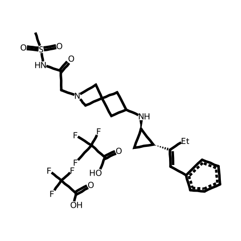 CC/C(=C\c1ccccc1)[C@@H]1C[C@H]1NC1CC2(C1)CN(CC(=O)NS(C)(=O)=O)C2.O=C(O)C(F)(F)F.O=C(O)C(F)(F)F